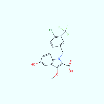 COc1c(C(=O)O)n(Cc2ccc(Cl)c(C(F)(F)F)c2)c2ccc(O)cc12